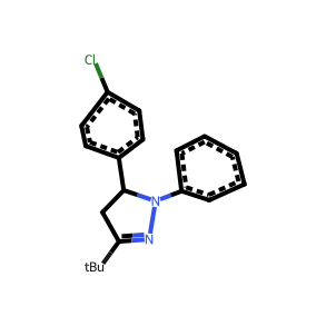 CC(C)(C)C1=NN(c2ccccc2)C(c2ccc(Cl)cc2)C1